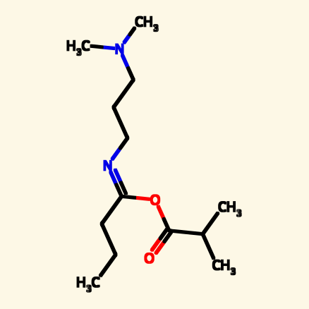 CCC/C(=N/CCCN(C)C)OC(=O)C(C)C